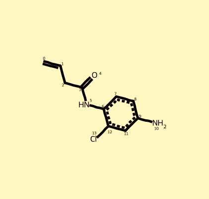 C=CCC(=O)Nc1ccc(N)cc1Cl